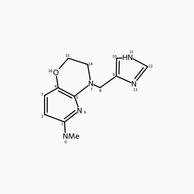 CNc1ccc2c(n1)N(Cc1c[nH]cn1)CCO2